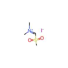 C[N+](C)=CS(C)(=O)=O.[I-]